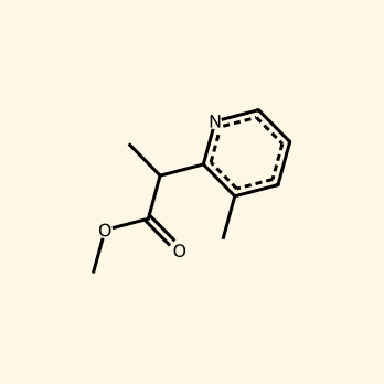 COC(=O)C(C)c1ncccc1C